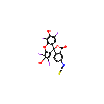 O=C1OC2(c3ccc(N=C=S)cc31)c1cc(I)c(O)c(I)c1Oc1c2cc(I)c(O)c1I